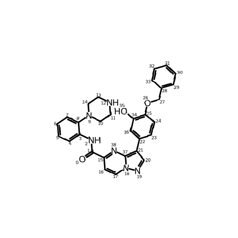 O=C(Nc1ccccc1N1CCNCC1)c1ccn2ncc(-c3ccc(OCc4ccccc4)c(O)c3)c2n1